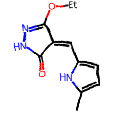 CCOC1=NNC(=O)C1=Cc1ccc(C)[nH]1